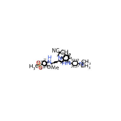 C=C(C#N)Cn1c(C#CCNc2ccc(S(C)(=O)=O)cc2OC)cc2c(N[C@H]3CC[C@H](N(C)C)CC3)cccc21